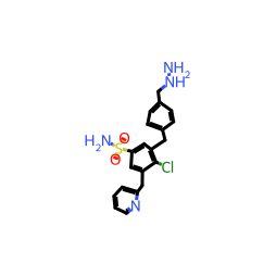 NNCc1ccc(Cc2cc(S(N)(=O)=O)cc(Cc3ccccn3)c2Cl)cc1